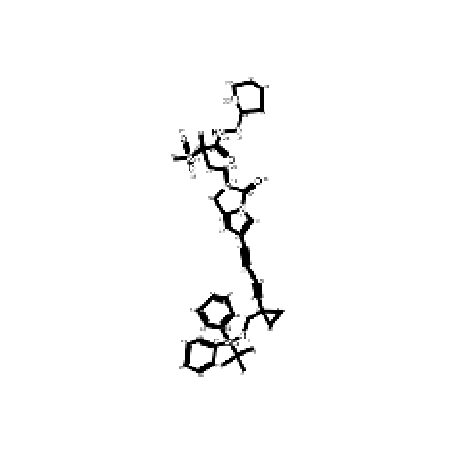 CC(C)(C)[Si](OCC1(C#CC#Cc2cc3n(c2)C(=O)N(CCC(C)(C(=O)NOC2CCCCO2)S(C)(=O)=O)C3)CC1)(c1ccccc1)c1ccccc1